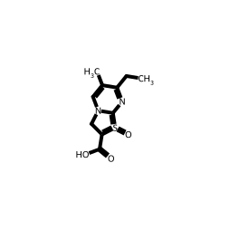 CCC1=NC2=S(=O)=C(C(=O)O)CN2C=C1C